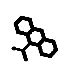 [O]C(=O)c1c2ccccc2cc2ccccc12